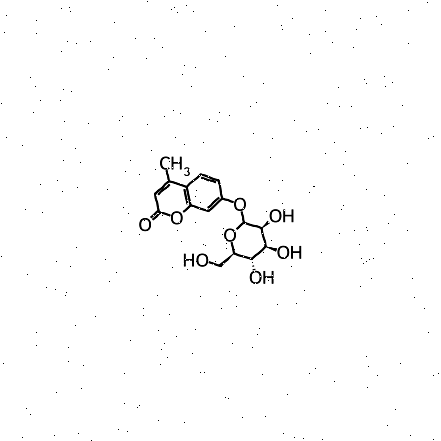 Cc1cc(=O)oc2cc(OC3O[C@H](CO)[C@@H](O)[C@H](O)[C@@H]3O)ccc12